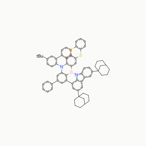 CC(C)(C)c1ccc(N2c3cc4c(cc3B3c5c(cc(-c6ccccc6)cc52)-c2cc(C56CCCC(CCC5)C6)cc5c6cc(C78CCCC(CCC7)C8)ccc6n3c25)Sc2ccccc2S4)c(-c2ccccc2)c1